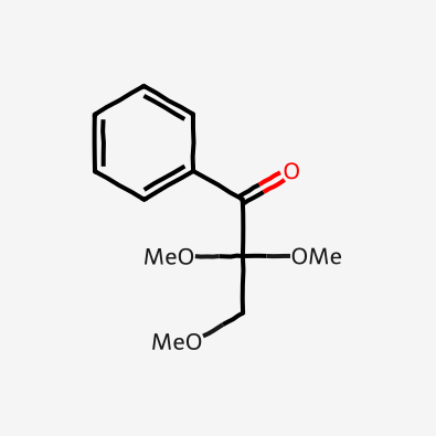 COCC(OC)(OC)C(=O)c1ccccc1